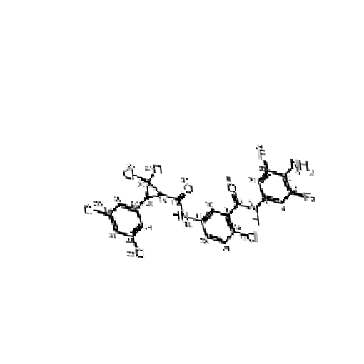 Nc1c(F)cc(NC(=O)c2cc(NC(=O)[C@H]3C(c4cc(Cl)cc(Cl)c4)C3(Cl)Cl)ccc2Cl)cc1F